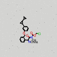 CO/N=C(\C(=O)N(C)C(=O)OCCl)c1ccccc1COc1cccc(C2CC2C2CC2)c1